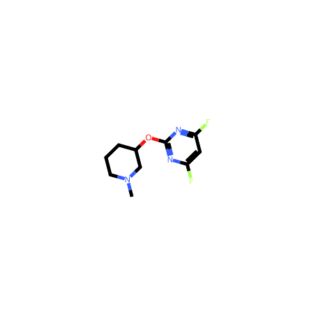 CN1CCCC(Oc2nc(F)cc(F)n2)C1